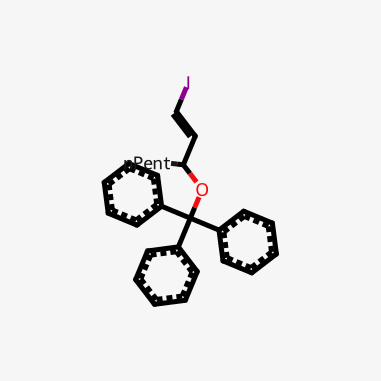 CCCCCC(C=CI)OC(c1ccccc1)(c1ccccc1)c1ccccc1